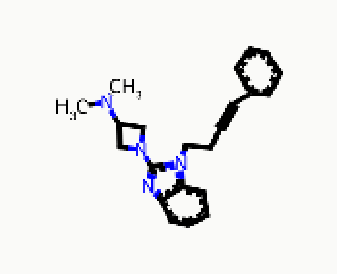 CN(C)C1CN(c2nc3ccccc3n2CCC#Cc2ccccc2)C1